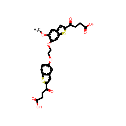 COc1cc2cc(C(=O)CCC(=O)O)sc2cc1OCCOc1ccc2sc(C(=O)CCC(=O)O)cc2c1